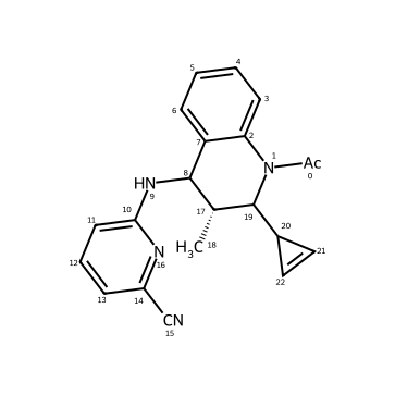 CC(=O)N1c2ccccc2C(Nc2cccc(C#N)n2)[C@@H](C)C1C1C=C1